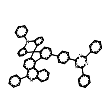 c1ccc(-c2nc(-c3ccccc3)nc(-c3ccc(-c4ccc5c(c4)-c4c(ccc6c(-c7ccccc7)nc7ccccc7c46)C54c5ccccc5N(c5ccccc5)c5ccccc54)cc3)n2)cc1